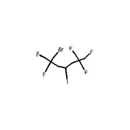 FC(F)(F)C(I)C(F)(F)Br